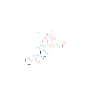 CC1(C)O[C@@H]2[C@H](O1)[C@@H](CNC(=O)C(F)(F)F)O[C@H]2n1cnc2c(NC(=O)c3ccccc3)ncnc21